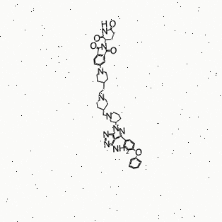 Nc1ncnc2c1c(-c1ccc(Oc3ccccc3)cc1)nn2[C@@H]1CCCN(CC2CCN(CCC3CCN(c4ccc5c(c4)C(=O)N(C4CCC(=O)NC4=O)C5=O)CC3)CC2)C1